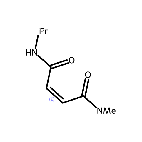 CNC(=O)/C=C\C(=O)NC(C)C